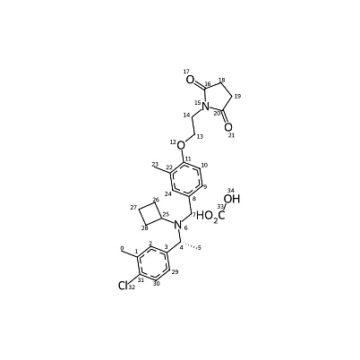 Cc1cc([C@@H](C)N(Cc2ccc(OCCN3C(=O)CCC3=O)c(C)c2)C2CCC2)ccc1Cl.O=C(O)O